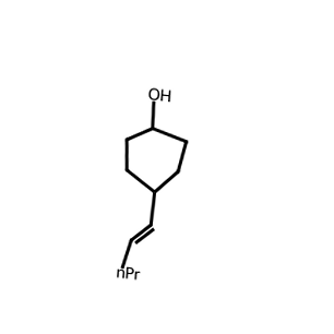 CCCC=CC1CCC(O)CC1